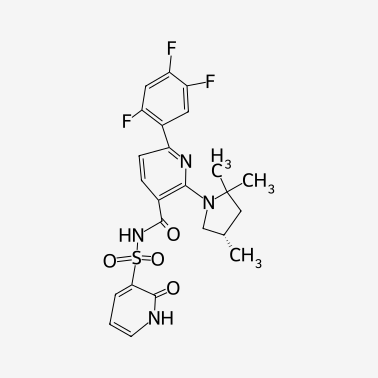 C[C@@H]1CN(c2nc(-c3cc(F)c(F)cc3F)ccc2C(=O)NS(=O)(=O)c2ccc[nH]c2=O)C(C)(C)C1